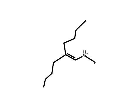 CCCCC(=C[SiH2]F)CCCC